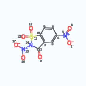 O=C1c2cc([N+](=O)[O-])ccc2S(=O)(=O)N1[N+](=O)[O-]